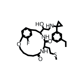 CCc1cccc(C2(NCC(O)C3Cc4ccc(c(F)c4)OCCCCC(=O)NC(CCSC)C(=O)N3)CC2)c1